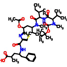 CCC(C)C(NC(=O)C(C(C)C)N(C)C(=O)OC(C)(C)C)C(=O)N(C)C(CC(OC(C)=O)c1nc(C(=O)NC(Cc2ccccc2)CC(C)C(=O)O)cs1)C(C)C